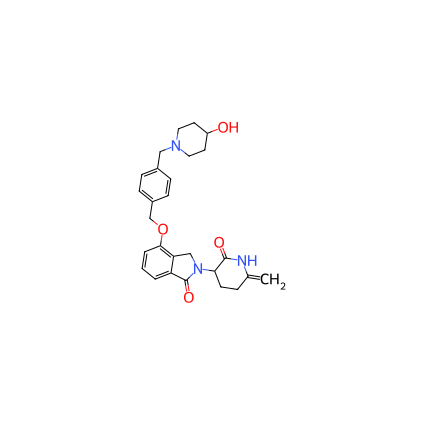 C=C1CCC(N2Cc3c(OCc4ccc(CN5CCC(O)CC5)cc4)cccc3C2=O)C(=O)N1